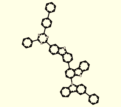 c1ccc(-c2ccc(-c3nc(-c4ccccc4)nc(-c4ccc5c(c4)oc4ccc(-c6ccc(-n7c8ccccc8c8cc(-c9ccccc9)ccc87)c7oc8ccccc8c67)cc45)n3)cc2)cc1